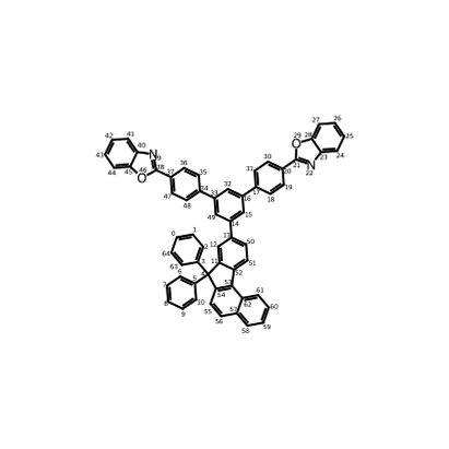 c1ccc(C2(c3ccccc3)c3cc(-c4cc(-c5ccc(-c6nc7ccccc7o6)cc5)cc(-c5ccc(-c6nc7ccccc7o6)cc5)c4)ccc3-c3c2ccc2ccccc32)cc1